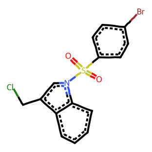 O=S(=O)(c1ccc(Br)cc1)n1cc(CCl)c2ccccc21